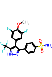 COc1c(F)cc(-c2c(-c3ccc(S(N)(=O)=O)cc3)n[nH]c2C(F)(F)F)cc1F